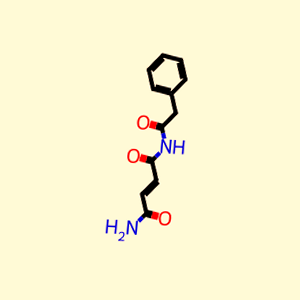 NC(=O)C=CC(=O)NC(=O)Cc1ccccc1